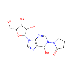 O=C1CCCN1N1C=Nc2c(ncn2[C@@H]2O[C@H](CO)C(O)C2O)C1O